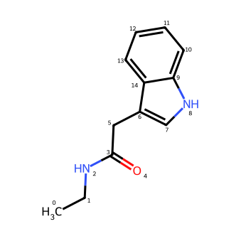 CCNC(=O)Cc1c[nH]c2ccccc12